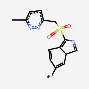 Cc1ccc(CS(=O)(=O)C2=C3C=CC(C(C)C)=CC3C=N2)nn1